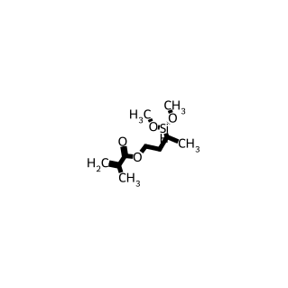 C=C(C)C(=O)OCCC(C)[SiH](OC)OC